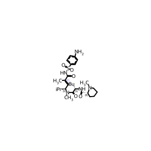 C/C(=C\[C@H](C(C)C)N(C)C(=O)[C@@H](NC(=O)[C@H]1CCCCN1C)C(C)(C)C)C(=O)NS(=O)(=O)c1ccc(N)cc1